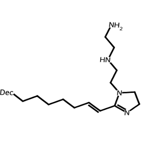 CCCCCCCCCCCCCCCC=CC1=NCCN1CCNCCN